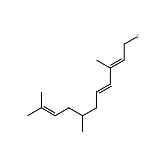 CC(C)=CCC(C)C/C=C/C(C)=C/CI